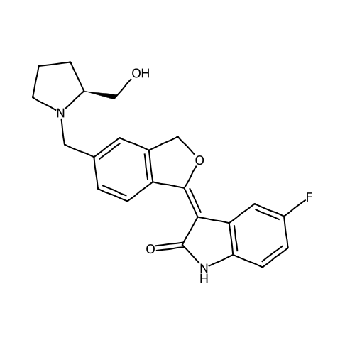 O=C1Nc2ccc(F)cc2C1=C1OCc2cc(CN3CCC[C@H]3CO)ccc21